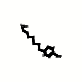 CCCCCCCCCCCCCCCCc1ccc(C(C)C)cc1